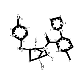 Cc1ccc(-n2nccn2)c(C(=O)N2[C@H](C)[C@H]3C[C@@H](Nc4cnc(C(F)(F)F)cn4)[C@@H]2C3)n1